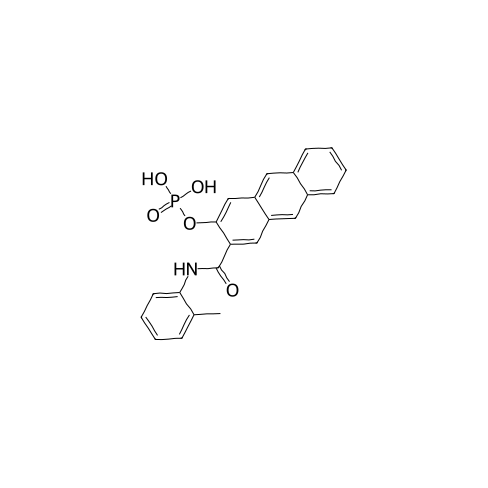 Cc1ccccc1NC(=O)c1cc2cc3ccccc3cc2cc1OP(=O)(O)O